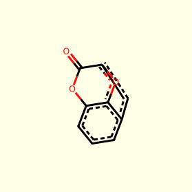 O=C1Oc2cccc3cc1oc23